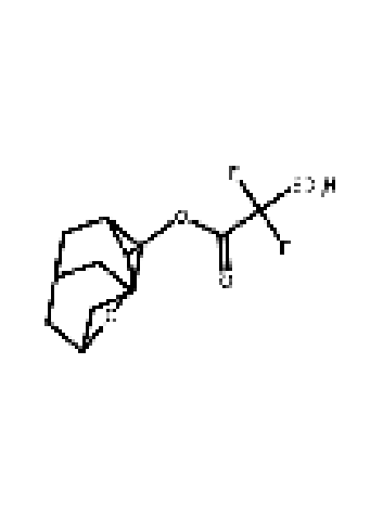 O=C(OC1CCC2CC3CC(C2)CC1C3)C(F)(F)S(=O)(=O)O